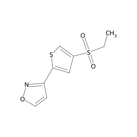 CCS(=O)(=O)c1csc(-c2ccon2)c1